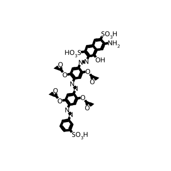 Nc1cc2c(O)c(N=Nc3cc(OC4CO4)c(N=Nc4cc(OC5CO5)c(N=Nc5cccc(S(=O)(=O)O)c5)cc4OC4CO4)cc3OC3CO3)c(S(=O)(=O)O)cc2cc1S(=O)(=O)O